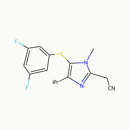 CC(C)c1nc(CC#N)n(C)c1Sc1cc(F)cc(F)c1